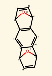 C1=CC2OC1c1cc3c(cc12)C1C=CC3O1